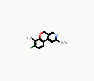 CC(=O)Nc1cc2c(cn1)COc1c-2ccc(Cl)c1C